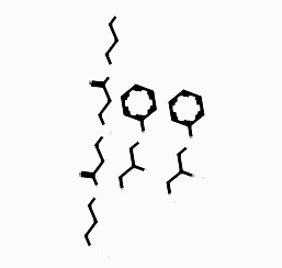 CCCCOC(=O)C[CH2][Sn][CH2]CC(=O)OCCCC.OC(CS)COc1ccccc1.OC(CS)COc1ccccc1